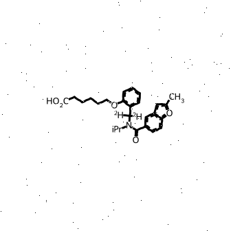 [2H]C([2H])(c1ccccc1OCCCCCC(=O)O)N(C(=O)c1ccc2oc(C)cc2c1)C(C)C